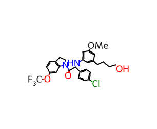 COc1cc(CCCCO)cc(NC(C(=O)N2CCc3ccc(OC(F)(F)F)cc32)c2ccc(Cl)cc2)c1